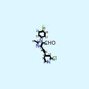 Cc1nc(C#Cc2ccnc(Cl)c2)c(C=O)n1-c1ccc(F)cc1